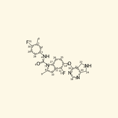 Cc1cc(NC(=O)n2c(C)cc3c(F)c(Oc4ncnc5c4CNC5)ccc32)ccc1F